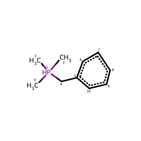 C[PH](C)(C)Cc1ccccc1